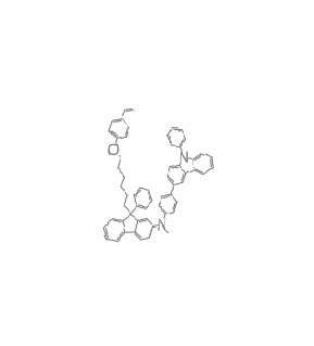 C=Cc1ccc(OCCCCCCC2(c3ccccc3)c3ccccc3-c3ccc(N(C)c4ccc(-c5ccc6c(c5)c5ccccc5n6-c5ccccc5)cc4)cc32)cc1